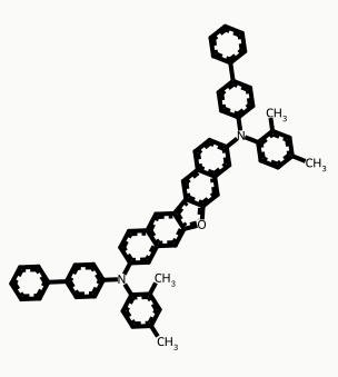 Cc1ccc(N(c2ccc(-c3ccccc3)cc2)c2ccc3cc4c(cc3c2)oc2cc3cc(N(c5ccc(-c6ccccc6)cc5)c5ccc(C)cc5C)ccc3cc24)c(C)c1